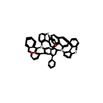 c1ccc(-c2cc3c(-c4ccccc4)cc(N(c4cccc5ccccc45)c4cccc5sc6ccccc6c45)cc3cc2N(c2cccc3ccccc23)c2cccc3sc4ccccc4c23)cc1